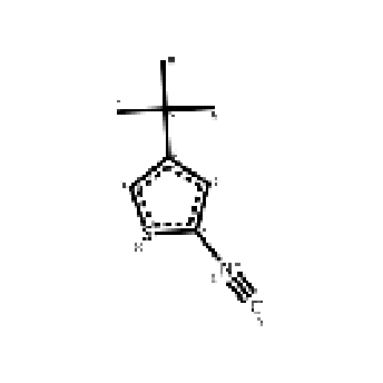 [C-]#[N+]c1cc(C(C)(C)C)cs1